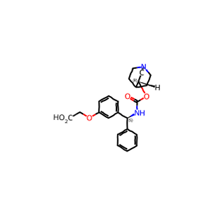 O=C(O)COc1cccc([C@@H](NC(=O)O[C@H]2CN3CCC2CC3)c2ccccc2)c1